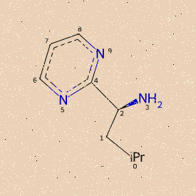 CC(C)C[C@H](N)c1ncccn1